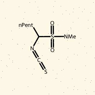 CCCCCC(N=C=S)S(=O)(=O)NC